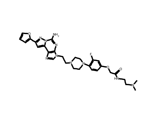 CN(C)CCNC(=O)COc1ccc(N2CCN(CCn3cnc4c3nc(N)n3nc(-c5ccco5)cc43)CC2)c(F)c1